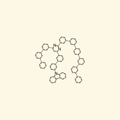 c1ccc(-c2cccc(-c3cccc(-c4ccc(-c5cccc(-c6cccc(-c7nc(-c8cccc(-c9cccc(-c%10ccccc%10)c9)c8)cc(-c8cccc(-c9cccc(-n%10c%11ccccc%11c%11ccccc%11%10)c9)c8)n7)c6)c5)cc4)c3)c2)cc1